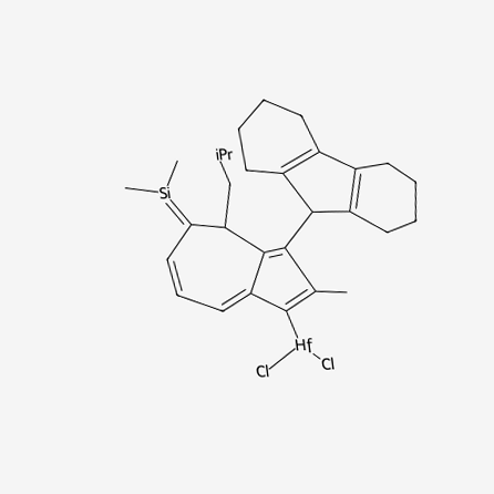 CC1=[C]([Hf]([Cl])[Cl])C2=CC=CC(=[Si](C)C)C(CC(C)C)C2=C1C1C2=C(CCCC2)C2=C1CCCC2